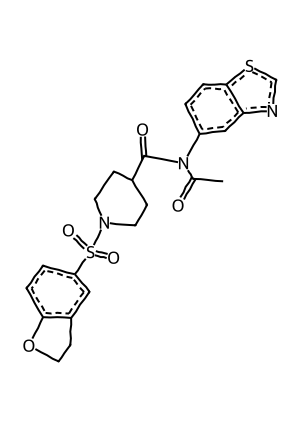 CC(=O)N(C(=O)C1CCN(S(=O)(=O)c2ccc3c(c2)CCO3)CC1)c1ccc2scnc2c1